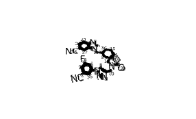 N#Cc1cc(F)cc(-n2cc(CN3C[C@@]4(CCC[C@H](Cn5cnc6ccc(C#N)cc65)C4)OC3=O)nn2)c1